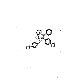 O=C1CCCN1[C@H](c1ccccc1)[C@@H](OCc1ccc(Cl)cc1)c1ccc(Cl)cc1